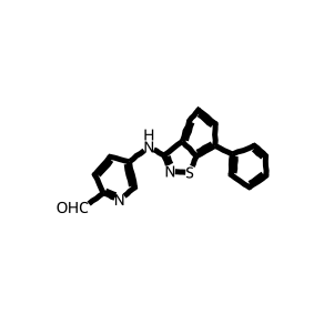 O=Cc1ccc(Nc2nsc3c(-c4ccccc4)cccc23)cn1